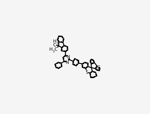 CC1(C)c2ccccc2-c2ccc(-c3cc(-c4ccccc4)nc(-c4ccc(-c5ccc6c(c5)Sc5ccccc5C65c6ccccc6-c6ccccc65)cc4)n3)cc21